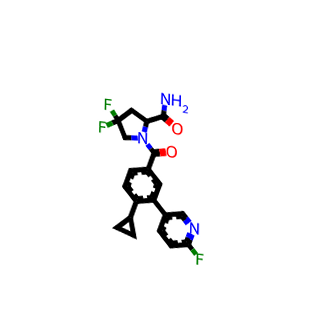 NC(=O)C1CC(F)(F)CN1C(=O)c1ccc(C2CC2)c(-c2ccc(F)nc2)c1